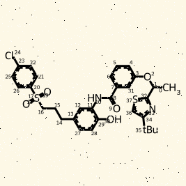 CC(Oc1cccc(C(=O)Nc2cc(CCCS(=O)(=O)c3ccc(Cl)cc3)ccc2O)c1)c1nc(C(C)(C)C)cs1